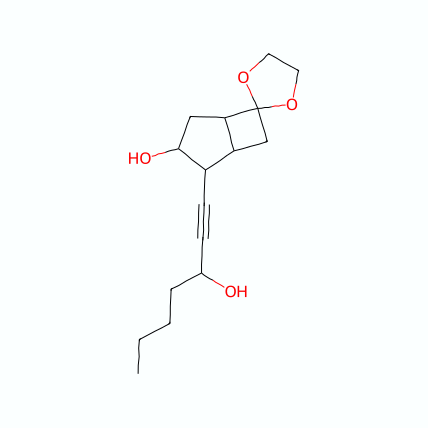 CCCCC(O)C#CC1C(O)CC2C1CC21OCCO1